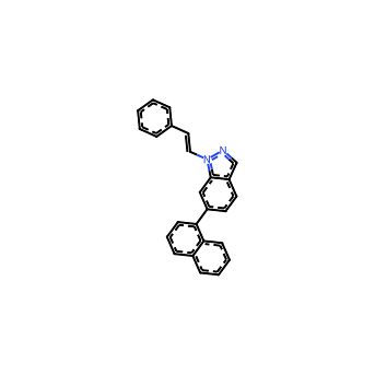 C(=Cn1ncc2ccc(-c3cccc4ccccc34)cc21)c1ccccc1